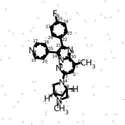 Cc1cc(N2C[C@@H]3C[C@H]2CN3C)nn2c(-c3ccncc3)c(-c3ccc(F)cc3)nc12